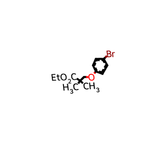 CCOC(=O)C(C)(C)COc1ccc(Br)cc1